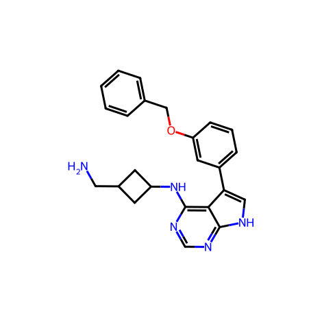 NCC1CC(Nc2ncnc3[nH]cc(-c4cccc(OCc5ccccc5)c4)c23)C1